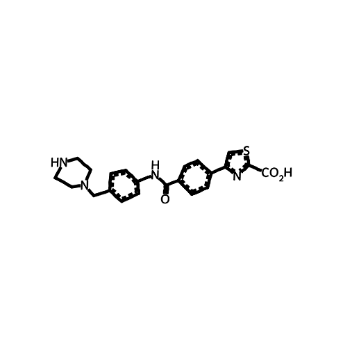 O=C(Nc1ccc(CN2CCNCC2)cc1)c1ccc(-c2csc(C(=O)O)n2)cc1